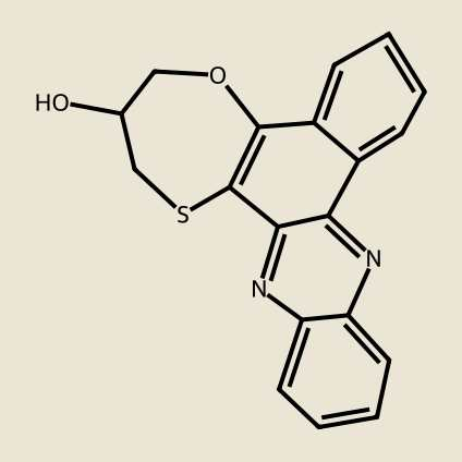 OC1COc2c(c3nc4ccccc4nc3c3ccccc23)SC1